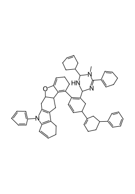 CN1C(C2=CCCC=C2)=NC(C2=C(C3=C4C(=CCC3)OC3Cc5c(c6c(n5-c5ccccc5)C=CCC6)CC43)C=CC(C3=CCCC(c4ccccc4)C3)C2)NC1C1CC=CCC1